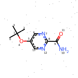 CC(C)(C)Oc1cnc(C(N)=O)nc1